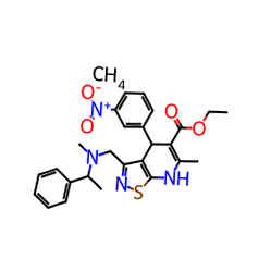 C.CCOC(=O)C1=C(C)Nc2snc(CN(C)C(C)c3ccccc3)c2C1c1cccc([N+](=O)[O-])c1